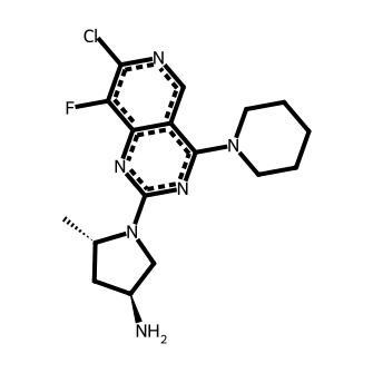 C[C@H]1C[C@H](N)CN1c1nc(N2CCCCC2)c2cnc(Cl)c(F)c2n1